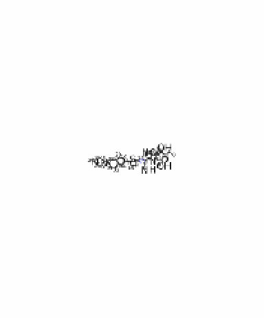 CC[C@H]1OC(O)[C@H](NC(=O)/C(C#N)=C/c2ccc(-c3ccc4cc(N5CCN(C)CC5)ccc4c3)s2)[C@@H](O)[C@@H]1O